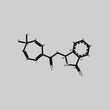 CC1(C)C=CC=C(C(=O)CC2OC(=O)c3ccccc32)C=C1